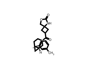 Cc1cccc([C@@]23CCN(C(=O)C4CC5(COC(=O)N5)C4)C[C@@H]2C3)c1